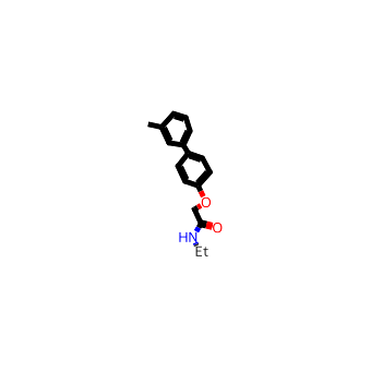 CCNC(=O)COc1ccc(-c2cccc(C)c2)cc1